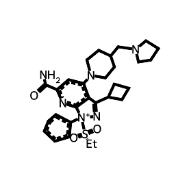 CCS(=O)(=O)[N+]1(c2ccccc2)N=C(C2CCC2)c2c(N3CCC(CN4CCCC4)CC3)cc(C(N)=O)nc21